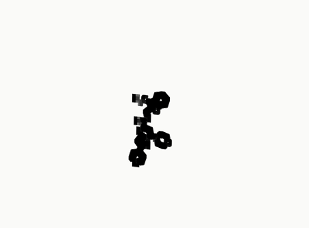 Cc1c(C=NNc2cc(N3CCOCC3)n3nc(-c4ccncc4)cc3n2)oc2ccccc12